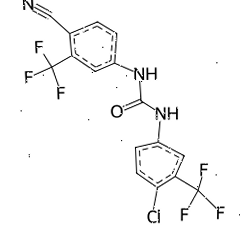 N#Cc1ccc(NC(=O)Nc2ccc(Cl)c(C(F)(F)F)c2)cc1C(F)(F)F